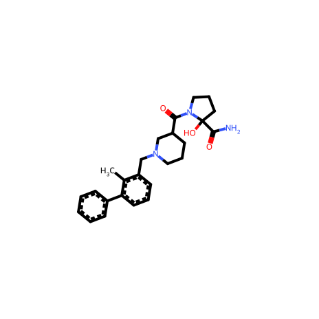 Cc1c(CN2CCCC(C(=O)N3CCCC3(O)C(N)=O)C2)cccc1-c1ccccc1